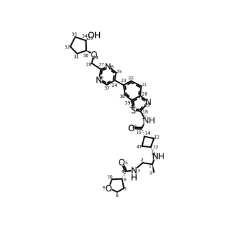 C[C@@H](CNC(=O)[C@@H]1CCOC1)N[C@H]1C[C@@H](C(=O)Nc2nc3ccc(-c4cnc(CO[C@H]5CCC[C@@H]5O)nc4)cc3s2)C1